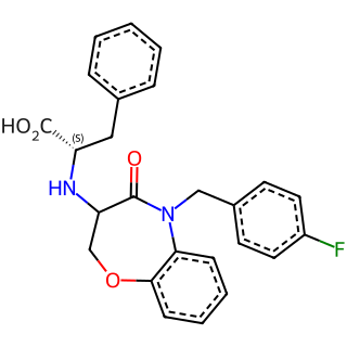 O=C(O)[C@H](Cc1ccccc1)NC1COc2ccccc2N(Cc2ccc(F)cc2)C1=O